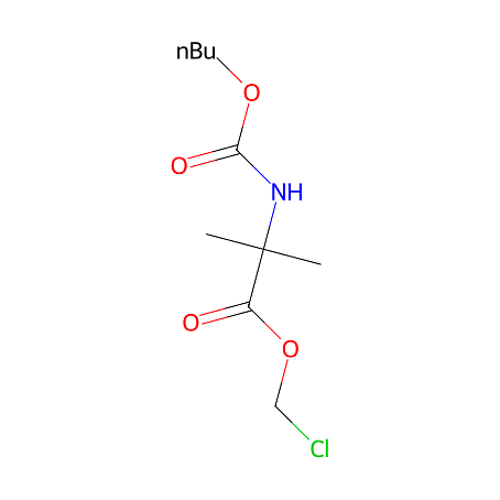 CCCCOC(=O)NC(C)(C)C(=O)OCCl